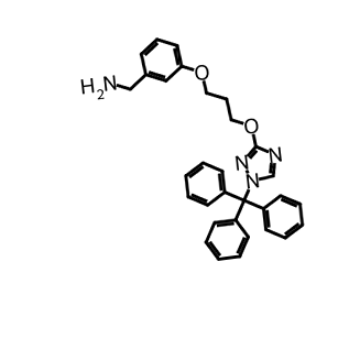 NCc1cccc(OCCCOc2ncn(C(c3ccccc3)(c3ccccc3)c3ccccc3)n2)c1